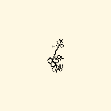 CC1Oc2cc3c(cc2NC1=O)C(N(CCCCNC(=O)OC(C)(C)C)C(=O)OC(C)(C)C)CCC3